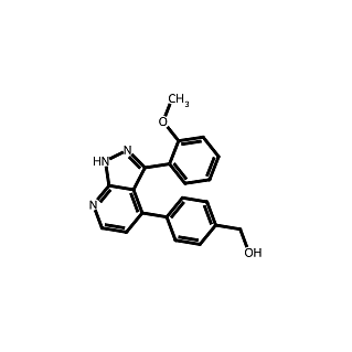 COc1ccccc1-c1n[nH]c2nccc(-c3ccc(CO)cc3)c12